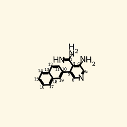 N=C(N)c1c(N)cncc1-c1ccc2ccccc2c1